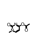 CC(=O)Oc1ccn(C)c(=O)n1